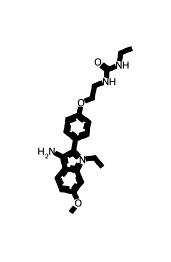 CCNC(=O)NCCOc1ccc(-c2c(N)c3ccc(OC)cc3n2CC)cc1